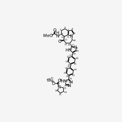 COC(=O)N[C@H]1CCc2ccn3c2C1C(=O)C[C@H](c1ncc(-c2ccc(-c4ccc(-c5nnc([C@@H]6CCCN6C(=O)OC(C)(C)C)[nH]5)cc4)cc2)[nH]1)C3